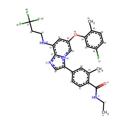 CCNC(=O)c1ccc(-c2cnc3c(NCCC(F)(F)F)cc(Oc4cc(F)ccc4C)cn23)cc1C